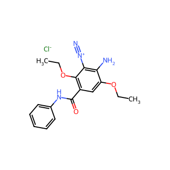 CCOc1cc(C(=O)Nc2ccccc2)c(OCC)c([N+]#N)c1N.[Cl-]